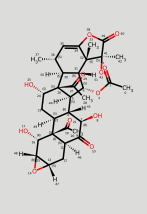 CC(=O)O[C@@H]1[C@H]2[C@@H]3[C@@H](O)C(=O)[C@H]4C[C@@H]5O[C@@H]5[C@H](O)[C@]4(C(C)=O)[C@H]3C[C@H](O)[C@]2(C(C)=O)[C@@H]2[C@@H]1[C@]1(C)C(=C[C@H]2C)OC(=O)[C@@]1(C)O